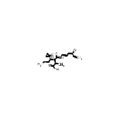 C=C/C(Br)=C\C=C\NC(=O)C(C(C)C(=O)O)C(CCC)C1(C)CC1